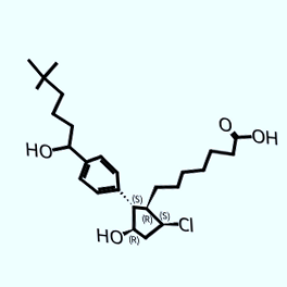 CC(C)(C)CCCC(O)c1ccc([C@@H]2[C@@H](CCCCCCC(=O)O)[C@@H](Cl)C[C@H]2O)cc1